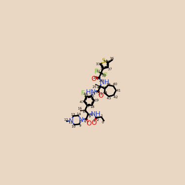 CCC(=O)N[C@@H](C(=O)N1CCN(C)CC1)[C@@H](C)c1ccc(NC(=O)[C@](C)(NC(=O)C(F)(F)c2csc(C)c2)C2CCCCCC2)c(F)c1